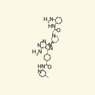 Cc1ccnc(NC(=O)c2ccc(-c3nn([C@@H]4CCCN(CC(=O)Nc5ccccc5N)C4)c4ncnc(N)c34)cc2)c1